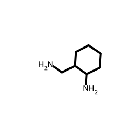 NCC1CCCCC1N